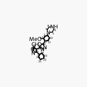 COc1cc(N2CCNCC2)ccc1-c1nnc(-c2c(-c3ccccc3)noc2C)o1